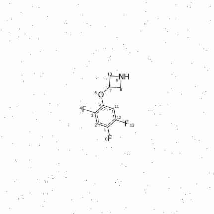 Fc1cc(F)c(OC2CNC2)cc1F